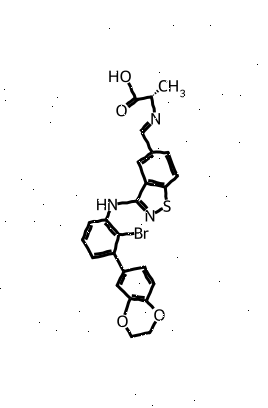 C[C@H](N=Cc1ccc2snc(Nc3cccc(-c4ccc5c(c4)OCCO5)c3Br)c2c1)C(=O)O